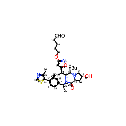 CCCCC(CC(c1cc(OCCCCC=O)no1)C(C)C)N1C[C@H](O)C[C@H]1C(=O)N[C@@H](C)c1ccc(-c2scnc2C)cc1